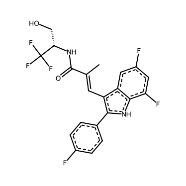 CC(=Cc1c(-c2ccc(F)cc2)[nH]c2c(F)cc(F)cc12)C(=O)N[C@@H](CO)C(F)(F)F